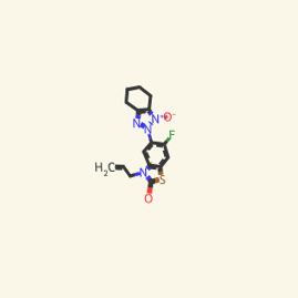 C=CCn1c(=O)sc2cc(F)c(-n3nc4c([n+]3[O-])CCCC4)cc21